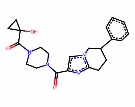 O=C(c1cn2c(n1)CCC(c1ccccc1)C2)N1CCN(C(=O)C2(O)CC2)CC1